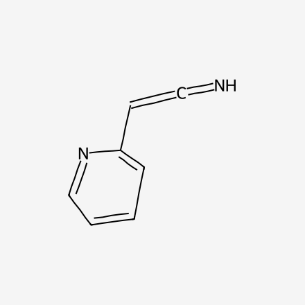 N=C=Cc1ccccn1